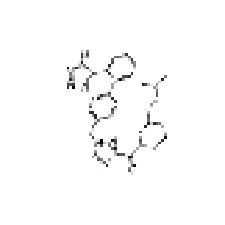 CC(C)CCC1CCCC(C(=O)c2ncn(Cc3ccc(-c4ccccc4-c4nnn[nH]4)cc3)n2)C1